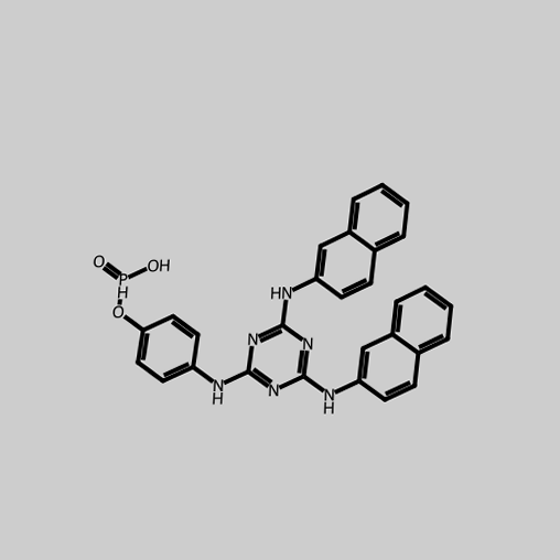 O=[PH](O)Oc1ccc(Nc2nc(Nc3ccc4ccccc4c3)nc(Nc3ccc4ccccc4c3)n2)cc1